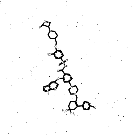 CC1(C)CCC(CN2CCN(c3ccc(C(=O)NS(=O)(=O)c4ccc(OCC5CCN(C6COC6F)CC5)c(C#N)c4)c(Oc4cnc5[nH]ccc5c4)c3)CC2)=C(c2ccc(Cl)cc2)C1